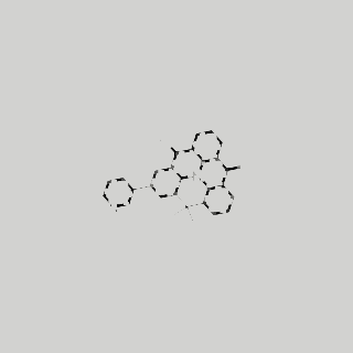 CC1(C)c2cccc3c(=O)c4cccc5c(=O)c6cc(-c7cccnc7)cc1c6n(c23)c45